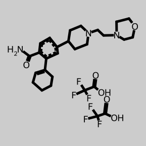 NC(=O)c1ccc(C2CCN(CCN3CCOCC3)CC2)cc1C1=CCCCC1.O=C(O)C(F)(F)F.O=C(O)C(F)(F)F